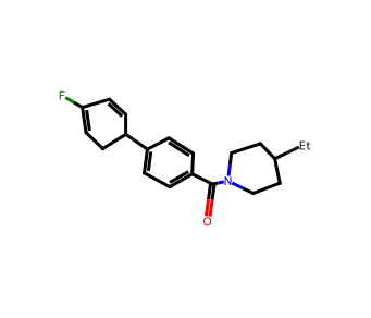 CCC1CCN(C(=O)c2ccc(C3C=CC(F)=CC3)cc2)CC1